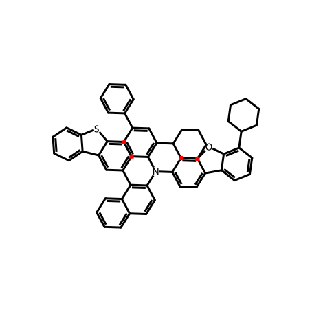 c1ccc(-c2ccc(N(c3ccc4c(c3)oc3c(C5CCCCC5)cccc34)c3ccc4ccccc4c3-c3ccc4sc5ccccc5c4c3)c(C3CCCCC3)c2)cc1